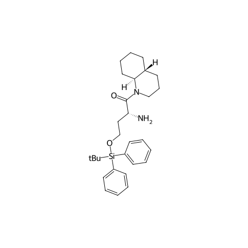 CC(C)(C)[Si](OCC[C@@H](N)C(=O)N1CCC[C@H]2CCCC[C@@H]21)(c1ccccc1)c1ccccc1